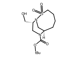 CC(C)(C)OC(=O)N1C[C@H](CO)N2C[C@H]1CCCCS2(=O)=O